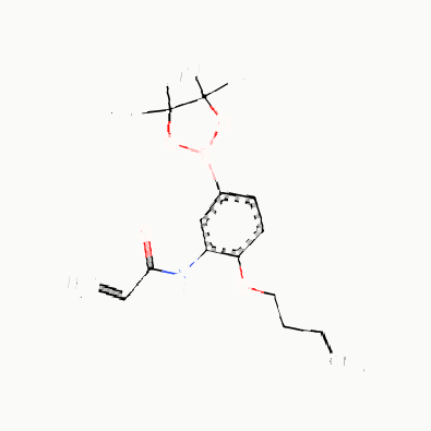 C=CC(=O)Nc1cc(B2OC(C)(C)C(C)(C)O2)ccc1OCCCC